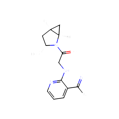 CC(=O)C(=N)c1cccnc1NCC(=O)N1[C@@H]2C[C@@H]2C[C@H]1C(=O)O